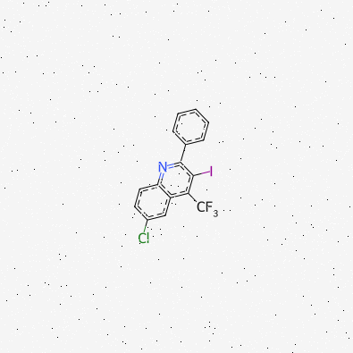 FC(F)(F)c1c(I)c(-c2ccccc2)nc2ccc(Cl)cc12